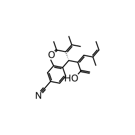 C=C(O)/C(=C\C(C)=C/C)[C@@H](C(C(C)=O)=C(C)C)c1ccc(C#N)cc1C